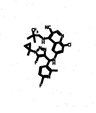 Cc1nc(F)ccc1C(Nc1cc(Cl)c2ncc(C#N)c(NCC(C)(C)C(F)(F)F)c2c1)c1nnn(C2(C)CC2)c1F